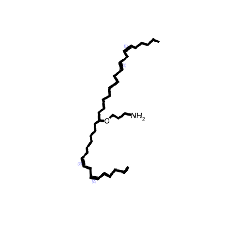 CCCCC/C=C\C/C=C\CCCCCCC(CCCCCCC/C=C/C/C=C\CCCCC)OCCCN